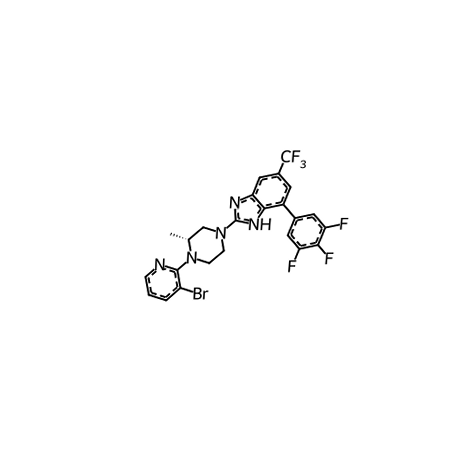 C[C@@H]1CN(c2nc3cc(C(F)(F)F)cc(-c4cc(F)c(F)c(F)c4)c3[nH]2)CCN1c1ncccc1Br